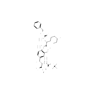 COC(=O)[C@H](NC(=O)OC(C)(C)C)[C@@H](C)c1ccc(NC(=O)[C@@H](NC(=O)OCc2ccccc2)[C@H]2CC[C@H](C)CC2)c(F)c1